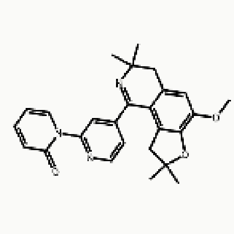 COc1cc2c(c3c1OC(C)(C)C3)C(c1ccnc(-n3ccccc3=O)c1)=NC(C)(C)C2